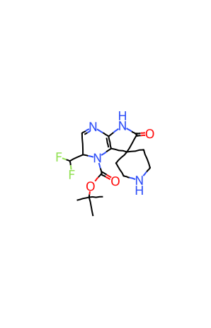 CC(C)(C)OC(=O)N1C2=C(N=CC1C(F)F)NC(=O)C21CCNCC1